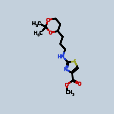 COC(=O)c1csc(NCCCC2CCOC(C)(C)O2)n1